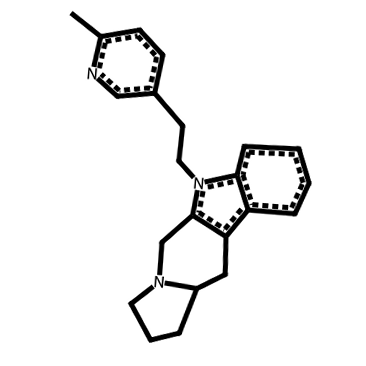 Cc1ccc(CCn2c3c(c4ccccc42)CC2CCCN2C3)cn1